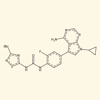 CC(C)(C)c1nsc(NC(=O)Nc2ccc(-c3cn(C4CC4)c4ncnc(N)c34)cc2F)n1